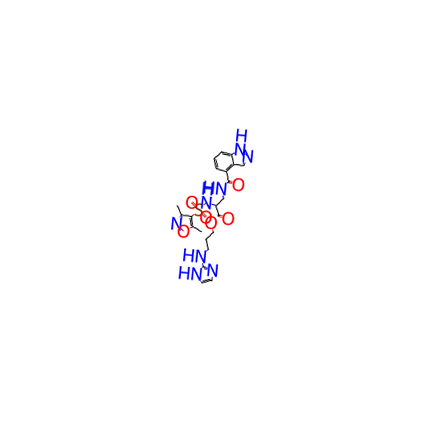 Cc1noc(C)c1S(=O)(=O)NC(CNC(=O)c1cccc2[nH]ncc12)C(=O)OCCCNc1ncc[nH]1